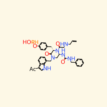 C=CCNCC(=O)N1[C@@H](NC(=O)NCc2ccccc2)CN(Cc2cccc3c(C(C)=O)c[nH]c23)C(=O)[C@@H]1Cc1ccc(OPO)cc1